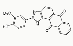 COc1cc(-c2nc3ccc4c(c3[nH]2)C(=O)c2ccccc2C4=O)ccc1O